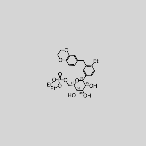 CCOP(=O)(OCC)OC[C@H]1O[C@@H](c2ccc(CC)c(Cc3ccc4c(c3)OCCO4)c2)[C@H](O)[C@@H](O)[C@@H]1O